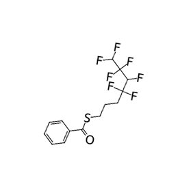 O=C(SCCCC(F)(F)C(F)C(F)(F)C(F)F)c1ccccc1